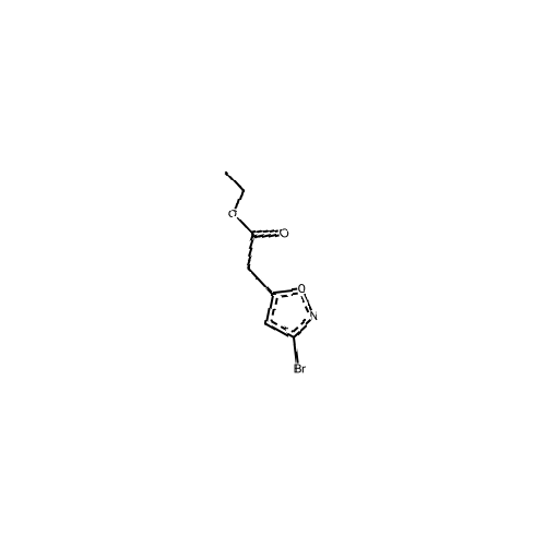 CCOC(=O)Cc1cc(Br)no1